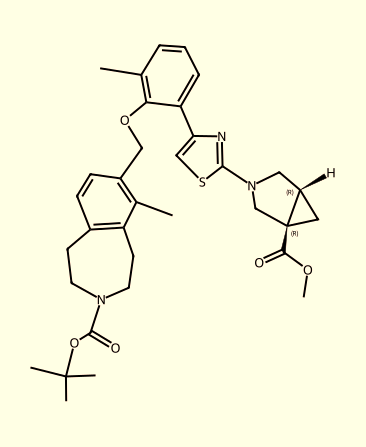 COC(=O)[C@]12C[C@H]1CN(c1nc(-c3cccc(C)c3OCc3ccc4c(c3C)CCN(C(=O)OC(C)(C)C)CC4)cs1)C2